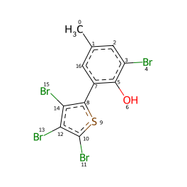 Cc1cc(Br)c(O)c(-c2sc(Br)c(Br)c2Br)c1